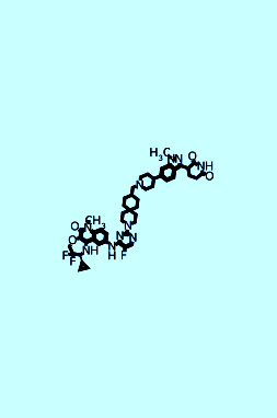 Cn1nc(C2CCC(=O)NC2=O)c2ccc(C3CCN(CC4CCC5(CC4)CCN(c4ncc(F)c(Nc6ccc7c(c6)c6c(c(=O)n7C)OCC(F)(F)[C@H](C7CC7)N6)n4)CC5)CC3)cc21